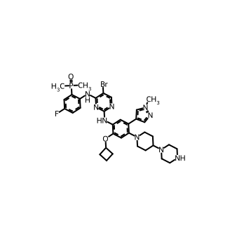 Cn1cc(-c2cc(Nc3ncc(Br)c(Nc4ccc(F)cc4P(C)(C)=O)n3)c(OC3CCC3)cc2N2CCC(N3CCNCC3)CC2)cn1